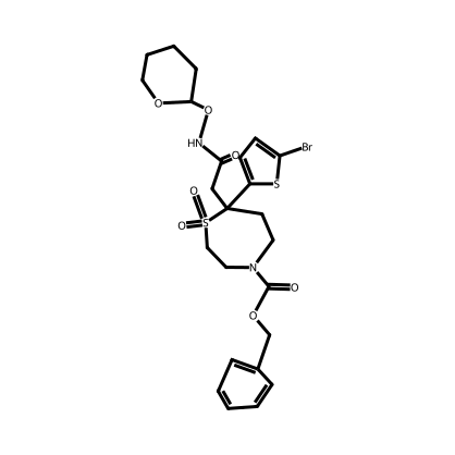 O=C(CC1(c2ccc(Br)s2)CCN(C(=O)OCc2ccccc2)CCS1(=O)=O)NOC1CCCCO1